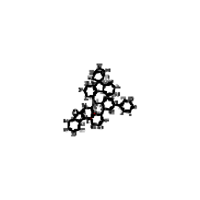 c1ccc(-c2ccc(N(c3ccc4c(c3)oc3ccccc34)c3cccc4c3-c3ccccc3C43CC4CCC3C4)c(-c3ccccc3)c2)cc1